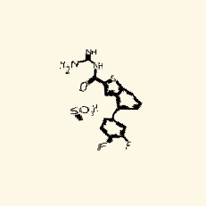 CS(=O)(=O)O.N=C(N)NC(=O)c1cc2c(-c3ccc(F)c(F)c3)cccc2s1